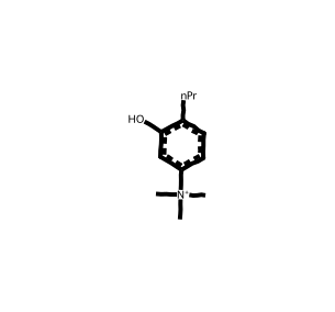 CCCc1ccc([N+](C)(C)C)cc1O